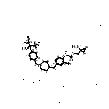 NC1(CNC(=O)Nc2ccc(CC3CCN(Cc4ccc(C(O)(C(F)(F)F)C(F)(F)F)cc4)CC3)cc2F)CC1